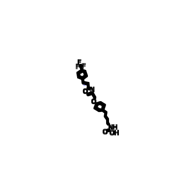 O=C(O)NCCCCc1ccc(OCc2coc(/C=C/c3ccc(C(F)(F)F)cc3)n2)cc1